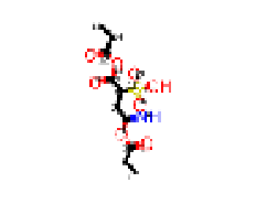 CCC(=O)OC(=N)CC(C(=O)OC(=O)CC)S(=O)(=O)O